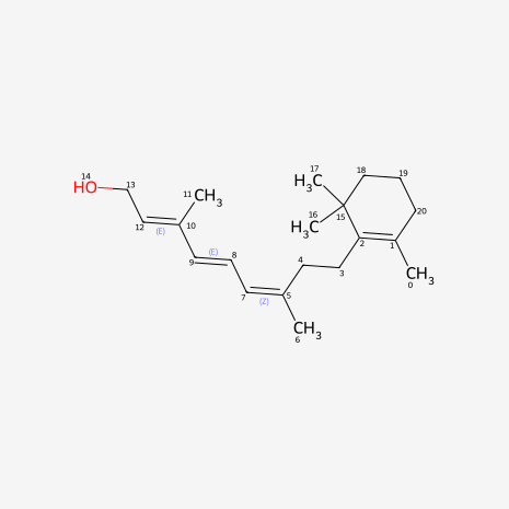 CC1=C(CC\C(C)=C/C=C/C(C)=C/CO)C(C)(C)CCC1